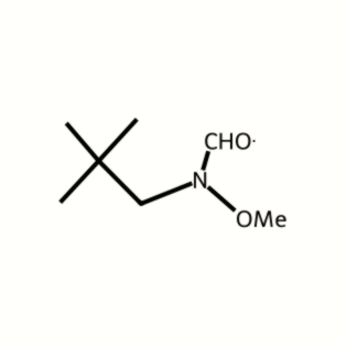 CON([C]=O)CC(C)(C)C